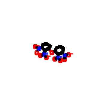 O=[N+]([O-])c1cccc(Oc2cccc([N+](=O)[O-])c2[N+](=O)[O-])c1[N+](=O)[O-]